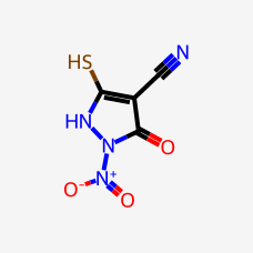 N#Cc1c(S)[nH]n([N+](=O)[O-])c1=O